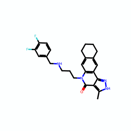 Cc1[nH]nc2c1c(=O)n(CCCNCc1ccc(F)c(F)c1)c1cc3c(cc21)CCCC3